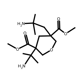 COC(=O)C1(CC(C)(C)N)COCC(C(=O)OC)(C(C)(C)N)C1